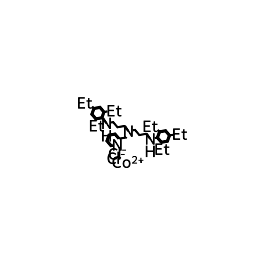 CCc1cc(CC)c(NCCCN(CCCNc2c(CC)cc(CC)cc2CC)Cc2ccccn2)c(CC)c1.[Cl-].[Cl-].[Co+2]